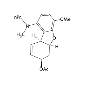 CCCN(C)c1ccc(OC)c2c1[C@@H]1C=C[C@H](OC(C)=O)C[C@@H]1O2